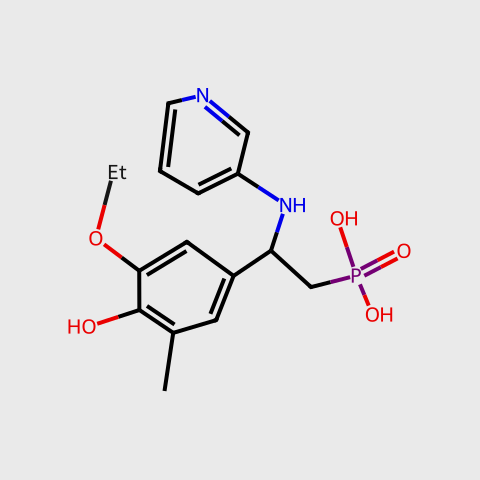 CCOc1cc(C(CP(=O)(O)O)Nc2cccnc2)cc(C)c1O